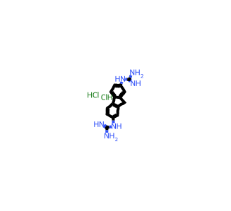 Cl.Cl.N=C(N)Nc1ccc2c(c1)Cc1cc(NC(=N)N)ccc1-2